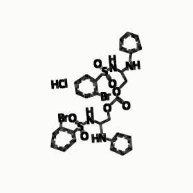 Cl.O=C(OCC(Nc1ccccc1)NS(=O)(=O)c1ccccc1Br)OCC(Nc1ccccc1)NS(=O)(=O)c1ccccc1Br